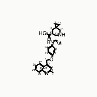 Cc1cc(COc2ccc(NC(=O)[C@H]3NCC4(CC4)C[C@@H]3C(=O)O)cc2)c2ccccc2n1